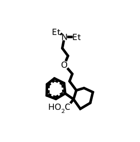 CCN(CC)CCOCCC1CCCCC1(C(=O)O)c1ccccc1